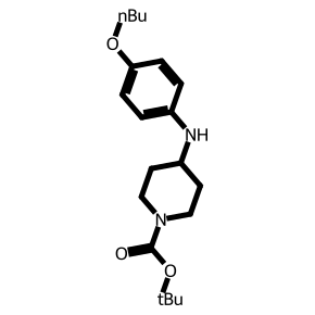 CCCCOc1ccc(NC2CCN(C(=O)OC(C)(C)C)CC2)cc1